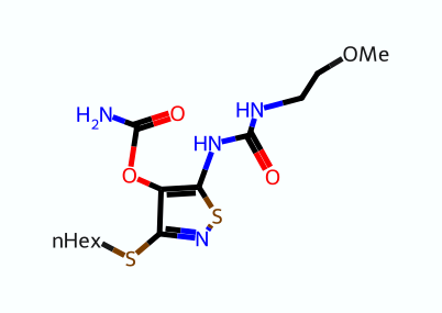 CCCCCCSc1nsc(NC(=O)NCCOC)c1OC(N)=O